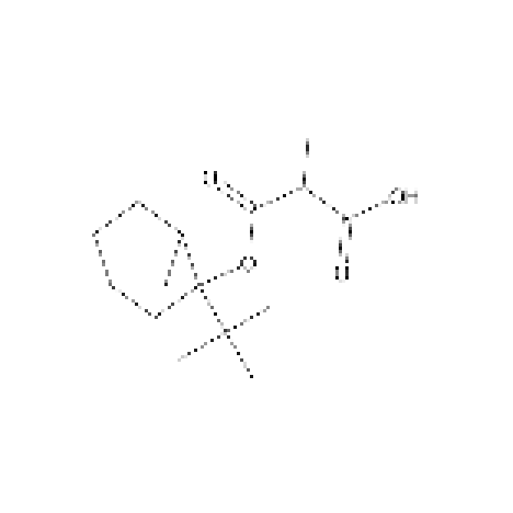 CC(C(=O)O)C(=O)OC1(C(C)(C)C)CC2CCC1C2